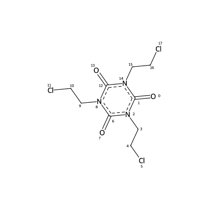 O=c1n(CCCl)c(=O)n(CCCl)c(=O)n1CCCl